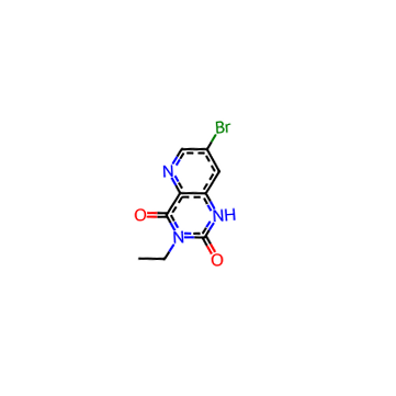 CCn1c(=O)[nH]c2cc(Br)cnc2c1=O